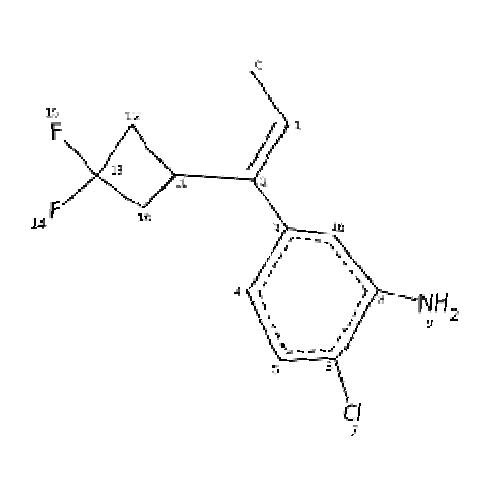 C/C=C(/c1ccc(Cl)c(N)c1)C1CC(F)(F)C1